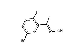 ON=C(Cl)c1cc(Br)ccc1F